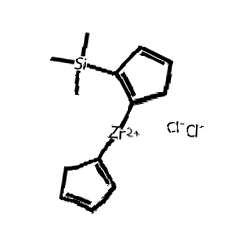 C[Si](C)(C)C1=[C]([Zr+2][C]2=CC=CC2)CC=C1.[Cl-].[Cl-]